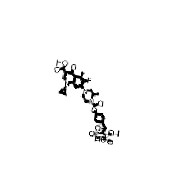 Cc1c(F)c(N2CCN(C(=O)Oc3ccc(CC(P(=O)(O)O)P(=O)(O)O)cc3)C(C)C2)cc2c1c(=O)c(C(=O)O)cn2C1CC1